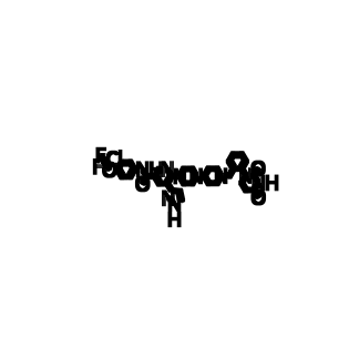 O=C1CCN(c2ccccc2CN2CCC(N3CCN(c4ncc(C(=O)Nc5ccc(OC(F)(F)Cl)cc5)cc4-c4cc[nH]n4)CC3)CC2)C(=O)N1